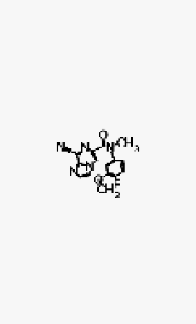 COc1cc(N(C)C(=O)c2cn3ccnc3c(C#N)n2)ccc1F